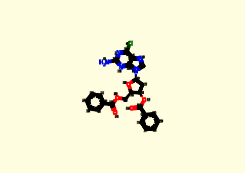 Nc1nc(Cl)c2ncn([C@@H]3C[C@H](OC(=O)c4ccccc4)[C@@H](COC(=O)c4ccccc4)O3)c2n1